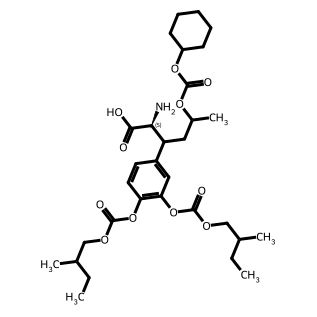 CCC(C)COC(=O)Oc1ccc(C(CC(C)OC(=O)OC2CCCCC2)[C@H](N)C(=O)O)cc1OC(=O)OCC(C)CC